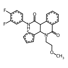 COCCN1C(=O)c2ccccc2C(C(=O)Nc2ccc(F)c(F)c2)C1c1cccs1